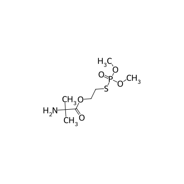 COP(=O)(OC)SCCOC(=O)C(C)(C)N